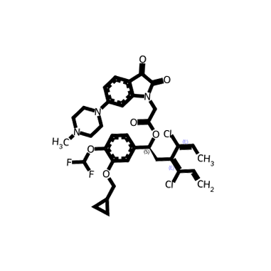 C=C/C(Cl)=C(C[C@H](OC(=O)CN1C(=O)C(=O)c2ccc(N3CCN(C)CC3)cc21)c1ccc(OC(F)F)c(OCC2CC2)c1)\C(Cl)=C/C